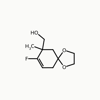 CC1(CO)CC2(CC=C1F)OCCO2